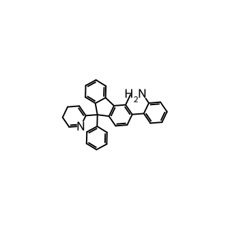 Cc1c(-c2ccccc2N)ccc2c1-c1ccccc1C2(C1=CCCC=N1)c1ccccc1